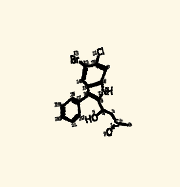 C[S+]([O-])CC(O)c1[nH]c2cc(Cl)c(Br)cc2c1-c1ccccc1